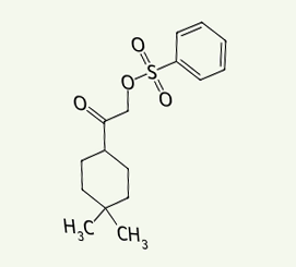 CC1(C)CCC(C(=O)COS(=O)(=O)c2ccccc2)CC1